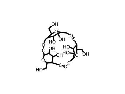 OCC1OC2COCC3C(CO)OC(COCC4C(CO)OC(COCC1C(O)C2O)C(O)C4O)C(O)C3O